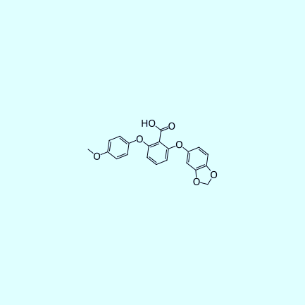 COc1ccc(Oc2cccc(Oc3ccc4c(c3)OCO4)c2C(=O)O)cc1